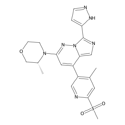 Cc1cc(S(C)(=O)=O)ncc1-c1cc(N2CCOC[C@H]2C)nn2c(-c3ccn[nH]3)ncc12